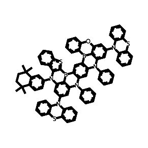 CC1(C)CCC(C)(C)c2cc(N3c4cc(N5c6ccccc6Sc6ccccc65)cc5c4B(c4cc6c(cc4N5c4ccccc4)N(c4ccccc4)c4cc(N5c7ccccc7Sc7ccccc75)cc5c4B6c4ccccc4O5)c4sc5ccccc5c43)ccc21